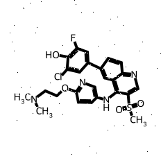 CN(C)CCOc1ccc(Nc2c(S(C)(=O)=O)cnc3ccc(-c4cc(F)c(O)c(Cl)c4)cc23)cn1